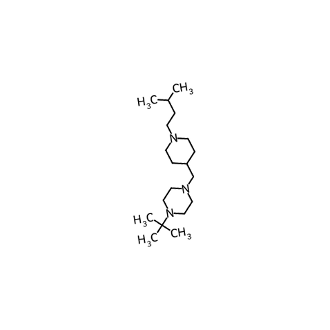 CC(C)CCN1CCC(CN2CCN(C(C)(C)C)CC2)CC1